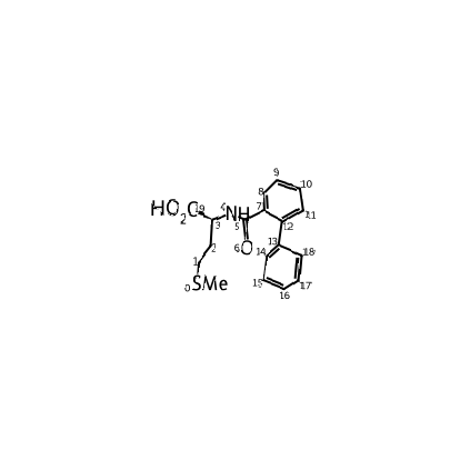 CSCC[C@H](NC(=O)c1ccccc1-c1ccccc1)C(=O)O